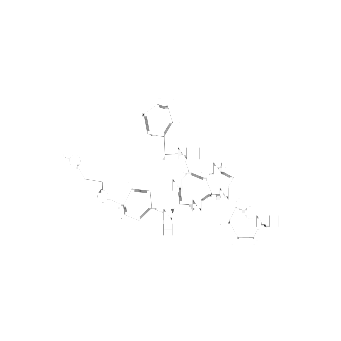 COCCOc1ccc(Nc2nc(NCc3ccccc3)c3ncn([C@H]4CCCNC4)c3n2)cc1